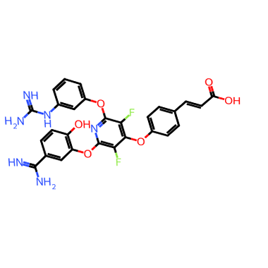 N=C(N)Nc1cccc(Oc2nc(Oc3cc(C(=N)N)ccc3O)c(F)c(Oc3ccc(/C=C/C(=O)O)cc3)c2F)c1